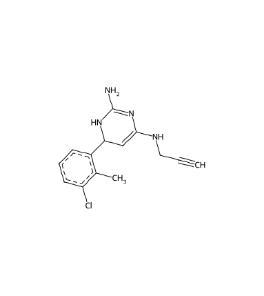 C#CCNC1=CC(c2cccc(Cl)c2C)NC(N)=N1